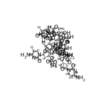 CO[C@H]1C(OP(=O)(S)OC)[C@@H](COP(=O)(S)OC2C[C@H](n3cc(C)c(N)nc3=O)O[C@@H]2COP(=O)(S)OC2[C@@H]3O[C@@H](C)[C@]2(COP(=O)(S)OC2[C@@H]4O[C@@H](C)[C@]2(COP(=O)(S)OC2[C@@H]5O[C@@H](C)[C@]2(CO)O[C@H]5n2cc(C)c(=O)[nH]c2=O)O[C@H]4n2cc(C)c(=O)[nH]c2=O)O[C@H]3n2cc(C)c(N)nc2=O)O[C@H]1n1ccc(N)nc1=O